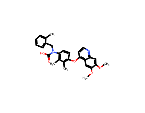 COc1cc2nccc(Oc3ccc(N(Cc4ccccc4C)C(=O)O)c(C)c3C)c2cc1OC